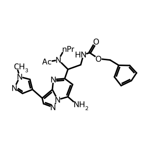 CCCN(C(C)=O)C(CNC(=O)OCc1ccccc1)c1cc(N)n2ncc(-c3cnn(C)c3)c2n1